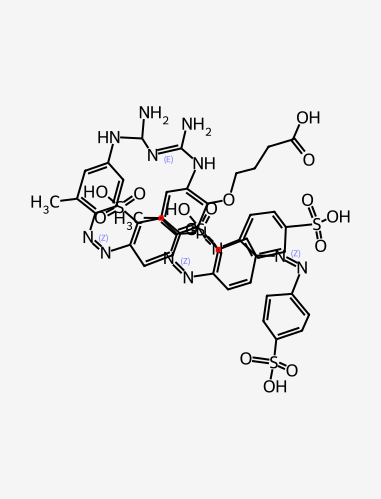 Cc1cc(NC(N)/N=C(\N)Nc2cc(C)c(/N=N\c3ccc(/N=N\c4ccc(S(=O)(=O)O)cc4)cc3S(=O)(=O)O)cc2OCCCC(=O)O)ccc1/N=N\c1ccc(N=Nc2ccc(S(=O)(=O)O)cc2)cc1S(=O)(=O)O